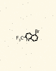 FC(F)(F)c1ccc2c(Br)cccc2n1